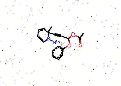 CC(=O)OC(C#CC1(C)C=CC=CN1N)Oc1ccccc1